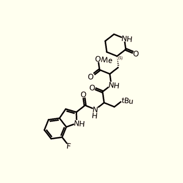 COC(=O)C(C[C@@H]1CCCNC1=O)NC(=O)C(CC(C)(C)C)NC(=O)c1cc2cccc(F)c2[nH]1